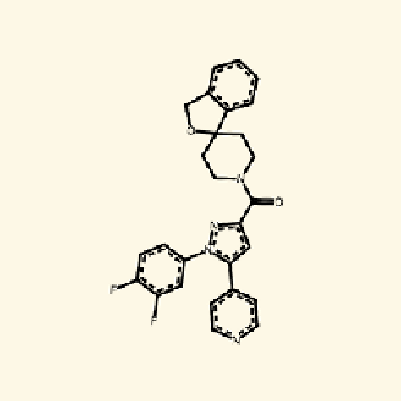 O=C(c1cc(-c2ccncc2)n(-c2ccc(F)c(F)c2)n1)N1CCC2(CC1)OCc1ccccc12